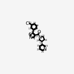 O=C(c1cnoc1-c1cccc(Cl)c1)N1CC[C@@H](c2cccnc2)C1